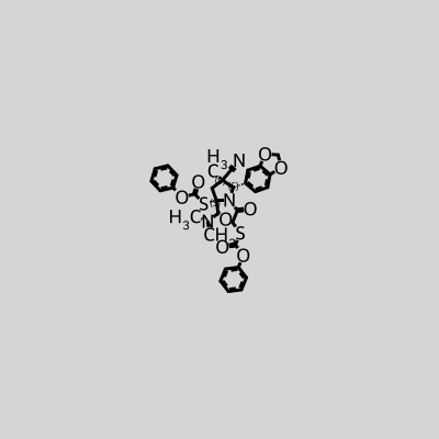 CN(C)C(=O)[C@@]1(SC(=O)Oc2ccccc2)C[C@](C)(C#N)[C@H](c2ccc3c(c2)OCO3)N1C(=O)CSC(=O)Oc1ccccc1